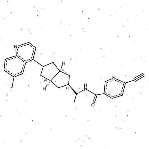 C#Cc1ccc(C(=O)NC(C)[C@H]2C[C@H]3CC(c4ccnc5ccc(F)cc45)C[C@H]3C2)cn1